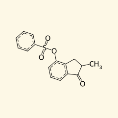 CC1Cc2c(OS(=O)(=O)c3ccccc3)cccc2C1=O